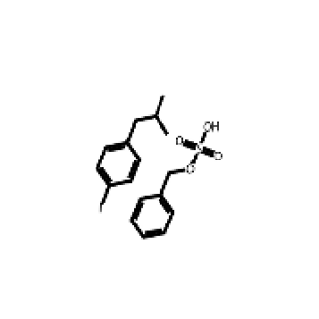 CC(C)Cc1ccc(I)cc1.O=S(=O)(O)OCc1ccccc1